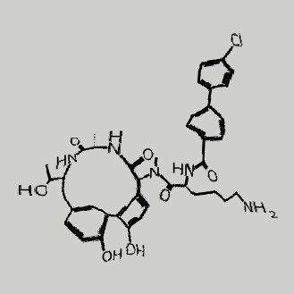 CC(O)[C@@H]1Cc2ccc(O)c(c2)-c2cc(ccc2O)[C@H](N(C)C(=O)[C@H](CCCCN)NC(=O)c2ccc(-c3ccc(Cl)cc3)cc2)C(=O)N[C@@H](C)C(=O)N1